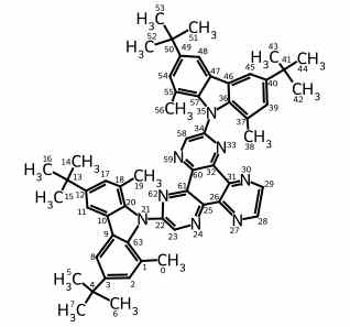 Cc1cc(C(C)(C)C)cc2c3cc(C(C)(C)C)cc(C)c3n(-c3cnc4c5nccnc5c5nc(-n6c7c(C)cc(C(C)(C)C)cc7c7cc(C(C)(C)C)cc(C)c76)cnc5c4n3)c12